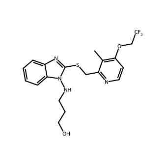 Cc1c(OCC(F)(F)F)ccnc1CSc1nc2ccccc2n1NCCCO